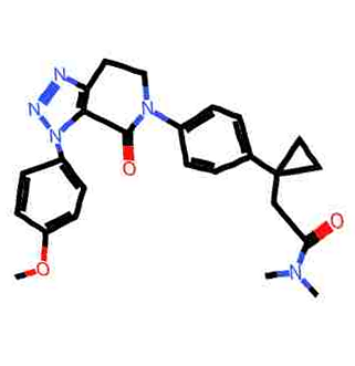 COc1ccc(-n2nnc3c2C(=O)N(c2ccc(C4(CC(=O)N(C)C)CC4)cc2)CC3)cc1